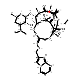 CC[C@H]1OC(=O)[C@H](C)C(=O)[C@H](C)[C@@H](O[C@@H]2O[C@H](C)C[C@H](N(C)C)[C@H]2O)[C@@]2(C)C[C@@H](C)/C(=N\C(C)=O)[C@H](C)[C@@H](OC/C(=N\OCc3cn4cccnc4n3)CO2)[C@]1(C)O